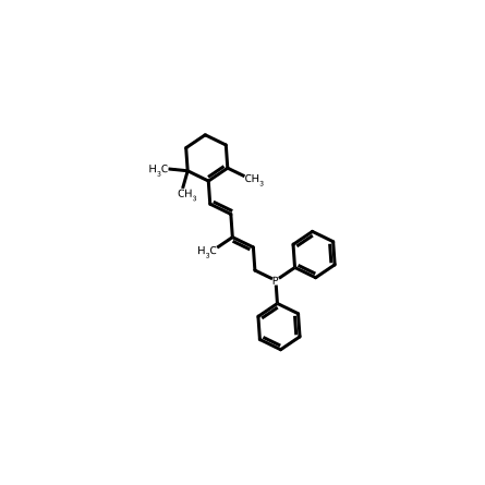 CC1=C(/C=C/C(C)=C/CP(c2ccccc2)c2ccccc2)C(C)(C)CCC1